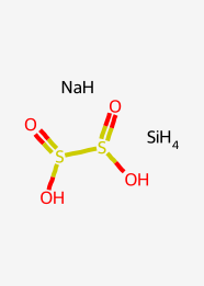 O=S(O)S(=O)O.[NaH].[SiH4]